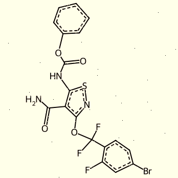 NC(=O)c1c(OC(F)(F)c2ccc(Br)cc2F)nsc1NC(=O)Oc1ccccc1